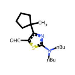 CCCCN(CCCC)c1nc(C2(C)CCCC2)c(C=O)s1